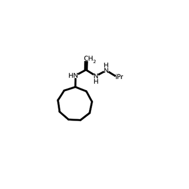 C=C(NNC(C)C)NC1CCCCCCCC1